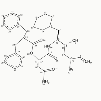 C=C[C@@H](C[C@@H](O)[C@H](CC1CCCCC1)NC(=O)[C@H](CC(N)=O)OC(=O)C(Cc1ccccc1)Cc1ccccc1)C(C)C